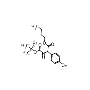 CCCCOC(=O)C(NC(=O)OC(C)(C)C)c1ccc(O)cc1